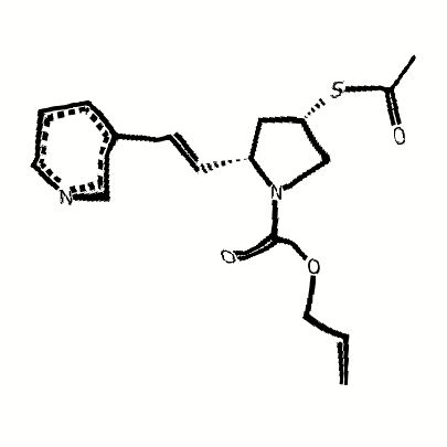 C=CCOC(=O)N1C[C@@H](SC(C)=O)C[C@H]1C=Cc1cccnc1